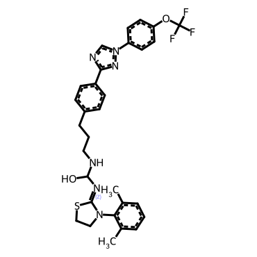 Cc1cccc(C)c1N1CCS/C1=N\C(O)NCCCc1ccc(-c2ncn(-c3ccc(OC(F)(F)F)cc3)n2)cc1